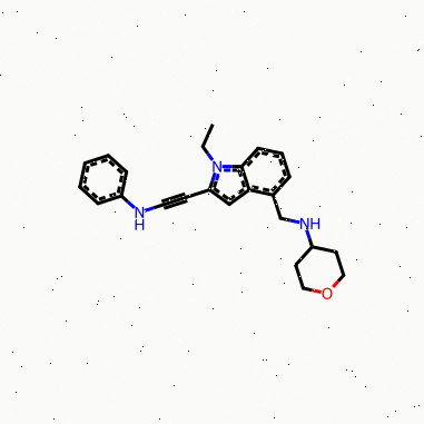 CCn1c(C#CNc2ccccc2)cc2c(CNC3CCOCC3)cccc21